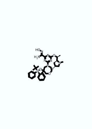 C[C@H](Oc1nc(/C(N)=N/O)nc(N2CCOCC(C)(O[Si](c3ccccc3)(c3ccccc3)C(C)(C)C)C2)n1)[C@@H]1C[C@@H](F)CN1C